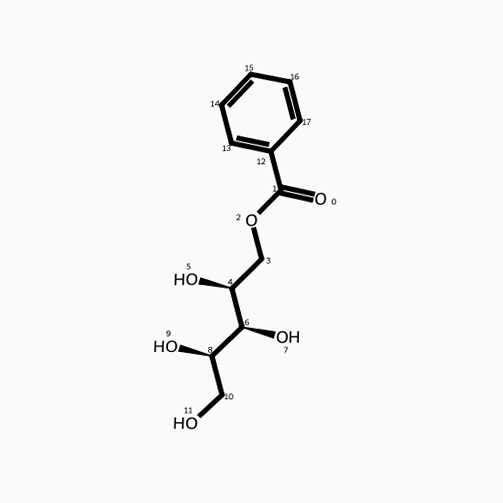 O=C(OC[C@H](O)[C@@H](O)[C@H](O)CO)c1ccccc1